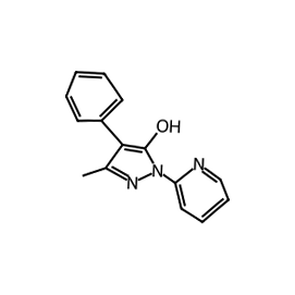 Cc1nn(-c2ccccn2)c(O)c1-c1ccccc1